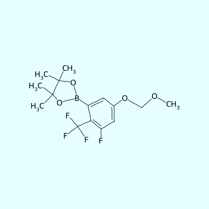 COCOc1cc(F)c(C(F)(F)F)c(B2OC(C)(C)C(C)(C)O2)c1